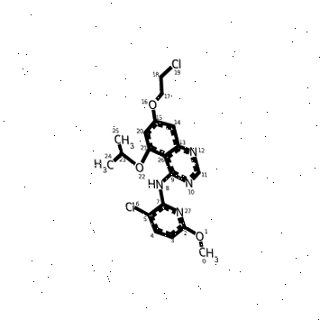 COc1ccc(Cl)c(Nc2ncnc3cc(OCCCl)cc(OC(C)C)c23)n1